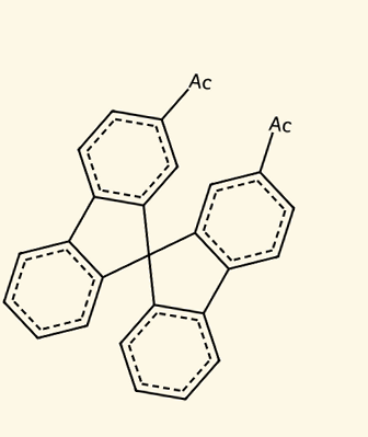 CC(=O)c1ccc2c(c1)C1(c3ccccc3-2)c2ccccc2-c2ccc(C(C)=O)cc21